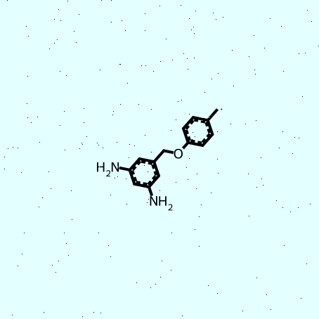 [CH2]c1ccc(OCc2cc(N)cc(N)c2)cc1